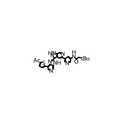 CC(=O)c1ccc(-c2cncc3[nH]c(-c4n[nH]c5cnc(-c6cncc(NC(=O)CC(C)(C)C)c6)cc45)nc23)s1